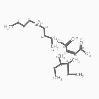 CCC(C)C(C)CC.CCC[CH2][Sn+2][CH2]CCC.O=C([O-])/C=C\C(=O)[O-]